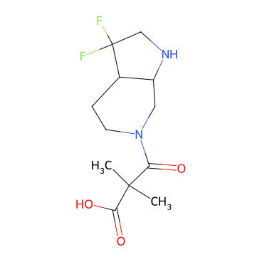 CC(C)(C(=O)O)C(=O)N1CCC2C(C1)NCC2(F)F